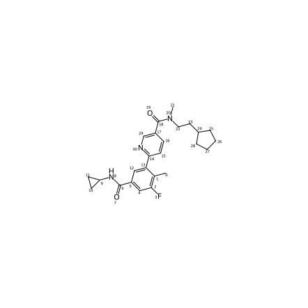 Cc1c(F)cc(C(=O)NC2CC2)cc1-c1ccc(C(=O)N(C)CCC2CCCC2)cn1